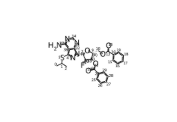 CC(C)Sc1nn([C@@H]2O[C@H](COC(=O)c3ccccc3)[C@@H](OC(=O)c3ccccc3)[C@@H]2F)c2ncnc(N)c12